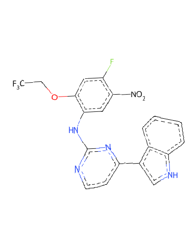 O=[N+]([O-])c1cc(Nc2nccc(-c3c[nH]c4ccccc34)n2)c(OCC(F)(F)F)cc1F